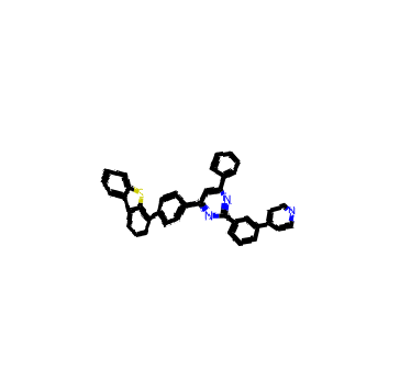 c1ccc(-c2cc(-c3ccc(-c4cccc5c4sc4ccccc45)cc3)nc(-c3cccc(-c4ccncc4)c3)n2)cc1